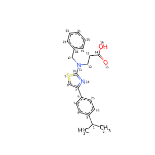 CC(C)c1ccc(-c2csc(N(CCC(=O)O)Cc3ccccc3)n2)cc1